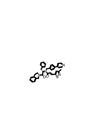 Cc1cc(/C=C/C(=O)N(Cc2ccc(-c3ccncc3)cc2)[C@@H](Cc2ccccc2)C(=O)N2CCc3ccccc3C2)n(C)n1